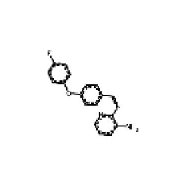 Nc1cccnc1/N=C\c1ccc(Oc2ccc(F)cc2)cc1